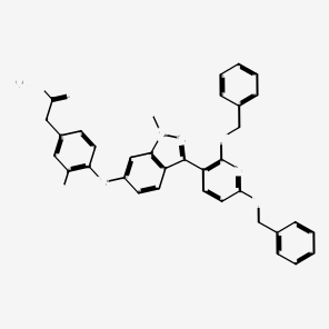 COC(=O)Cc1ccc(Nc2ccc3c(-c4ccc(OCc5ccccc5)nc4OCc4ccccc4)nn(C)c3c2)c(F)c1